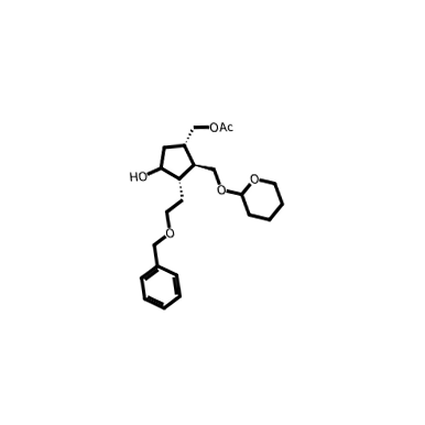 CC(=O)OC[C@H]1CC(O)[C@@H](CCOCc2ccccc2)[C@@H]1COC1CCCCO1